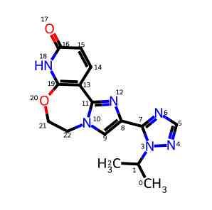 CC(C)n1ncnc1-c1cn2c(n1)-c1ccc(=O)[nH]c1OCC2